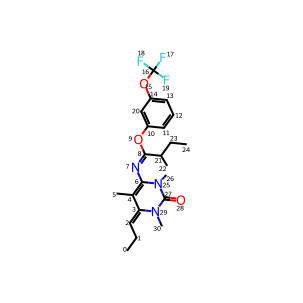 CC/C=C1C(C)=C(/N=C(/Oc2cccc(OC(F)(F)F)c2)C(C)CC)N(C)C(=O)N/1C